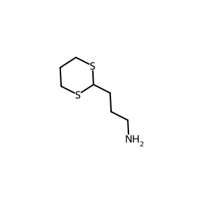 NCCCC1SCCCS1